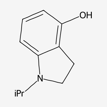 CC(C)N1CCc2c(O)cccc21